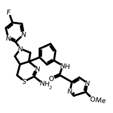 COc1cnc(C(=O)Nc2cccc(C34CN(c5ncc(F)cn5)CC3CSC(N)=N4)c2)cn1